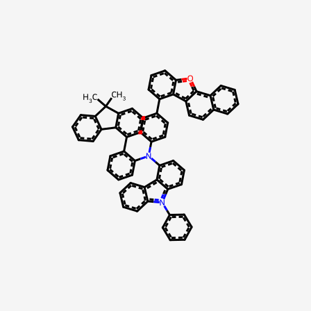 CC1(C)c2ccccc2-c2c(-c3ccccc3N(c3ccc(-c4cccc5oc6c7ccccc7ccc6c45)cc3)c3cccc4c3c3ccccc3n4-c3ccccc3)cccc21